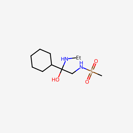 CCNC(O)(CNS(C)(=O)=O)C1CCCCC1